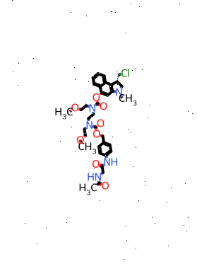 COCCN(CCN(CCOC)C(=O)Oc1cc2c(c3ccccc13)[C@H](CCl)CN2C)C(=O)OCc1ccc(NC(=O)CNC(C)=O)cc1